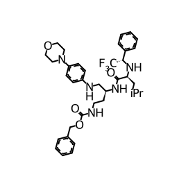 CC(C)C[C@H](N[C@@H](c1ccccc1)C(F)(F)F)C(=O)N[C@@H](CCNC(=O)OCc1ccccc1)CNc1ccc(N2CCOCC2)cc1